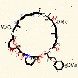 CO[C@H]1CCC[C@@H](C[C@@H](C)[C@@H]2CC(=O)[C@H](C)/C=C(\C)C[C@@H](OC)C(=O)[C@H](C)C[C@H](C)/C=C/C=C/C=C(\C)[C@@H](OC)C[C@@H]3CC[C@@H](C)[C@@](O)(O3)C(=O)C(=O)N3CCCC[C@H]3C(=O)O2)C1